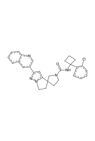 O=C(NC1(c2ccccc2Cl)CCC1)N1CCC2(CCn3nc(-c4cnc5ccccc5c4)cc32)C1